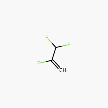 [CH]=C(F)C(F)F